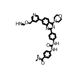 CN(C)C(=O)c1ccc(NC(=O)Nc2ccc(-c3nc(N4CCOCC4)c4ccc(-c5cncc(COC=N)c5)cc4n3)cc2)cc1